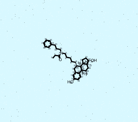 CCC(=O)N(CCCCC[C@@H]1Cc2cc(O)ccc2[C@@H]2[C@@H]1[C@@H]1CC[C@H](O)[C@@]1(C)C[C@@H]2F)CCCc1ccccc1